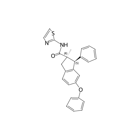 C[C@@]1(C(=O)Nc2nccs2)Cc2ccc(Oc3ccccc3)cc2[C@@H]1c1ccccc1